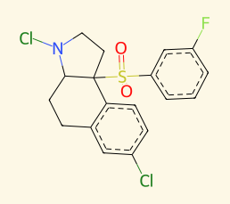 O=S(=O)(c1cccc(F)c1)C12CCN(Cl)C1CCc1cc(Cl)ccc12